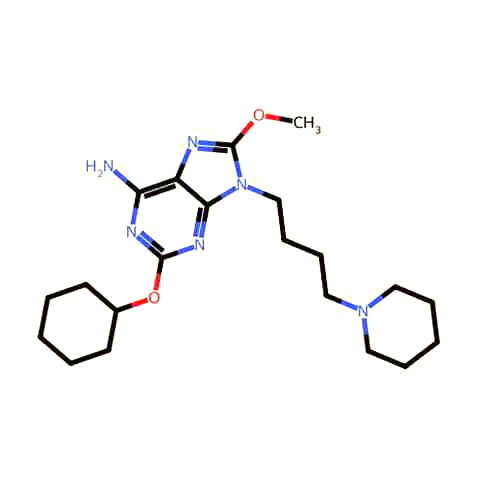 COc1nc2c(N)nc(OC3CCCCC3)nc2n1CCCCN1CCCCC1